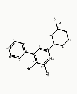 CC1CCCN(c2cc(-c3ccccc3)c(C#N)c(Cl)n2)C1